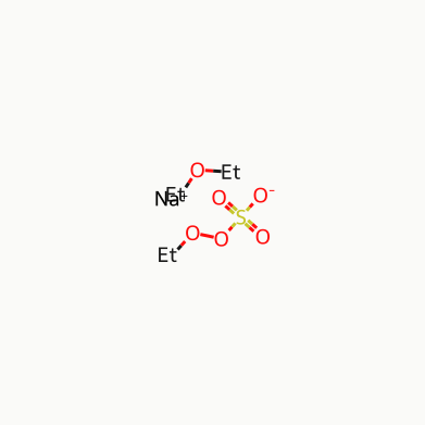 CCOCC.CCOOS(=O)(=O)[O-].[Na+]